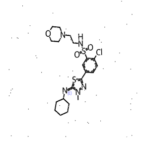 Cn1nc(-c2ccc(Cl)c(S(=O)(=O)NCCN3CCOCC3)c2)s/c1=N/C1CCCCC1